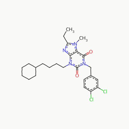 CCc1nc2c(c(=O)n(Cc3ccc(Cl)c(Cl)c3)c(=O)n2CCCCC2CCCCC2)n1C